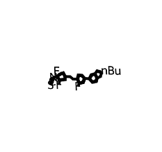 CCCCC1=Cc2cc(-c3ccc(CCc4cc(F)c(N=C=S)c(F)c4)c(F)c3)ccc2C1